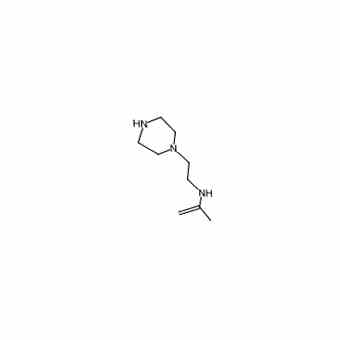 C=C(C)NCCN1CCNCC1